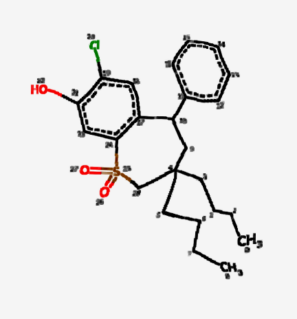 CCCCC1(CCCC)CC(c2ccccc2)c2cc(Cl)c(O)cc2S(=O)(=O)C1